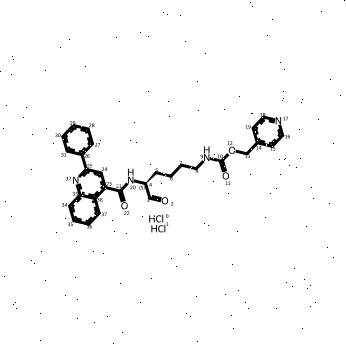 Cl.Cl.O=C[C@H](CCCCNC(=O)OCc1ccncc1)NC(=O)c1cc(-c2ccccc2)nc2ccccc12